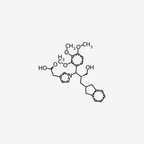 COc1ccc(C([C@@H](CO)CC2Cc3ccccc3C2)n2ccc(CC(=O)O)c2)c(OC)c1OC